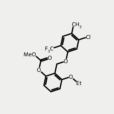 CCOc1cccc(OC(=O)OC)c1COc1cc(Cl)c(C)cc1C(F)(F)F